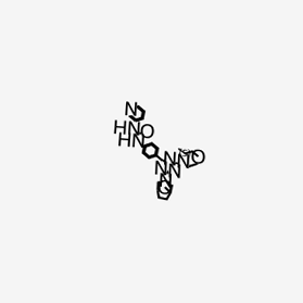 C[C@H]1COCCN1c1nc(-c2ccc(NC(=O)Nc3cccnc3)cc2)nc(N2CC3CCC(C2)O3)n1